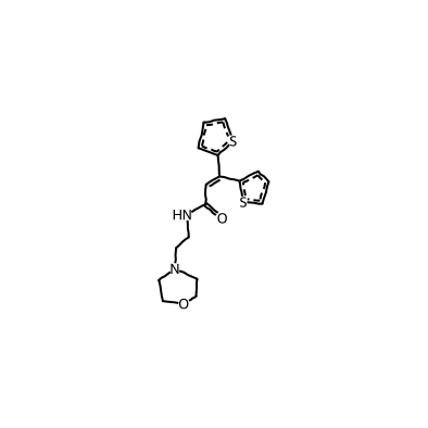 O=C(C=C(c1cccs1)c1cccs1)NCCN1CCOCC1